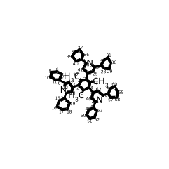 Cc1c(-c2cc(-c3ccccc3)nc(-c3ccccc3)c2)c(C)c(-c2cc(-c3ccccc3)nc(-c3ccccc3)c2)c(C)c1-c1cc(-c2ccccc2)nc(-c2ccccc2)c1